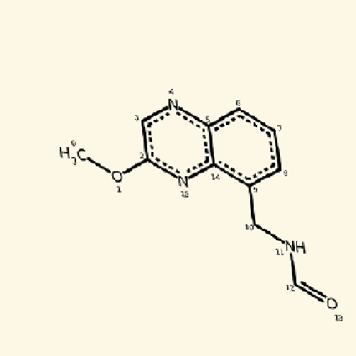 COc1cnc2cccc(CNC=O)c2n1